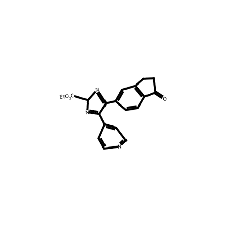 CCOC(=O)C1N=C(c2ccncc2)C(c2ccc3c(c2)CCC3=O)=N1